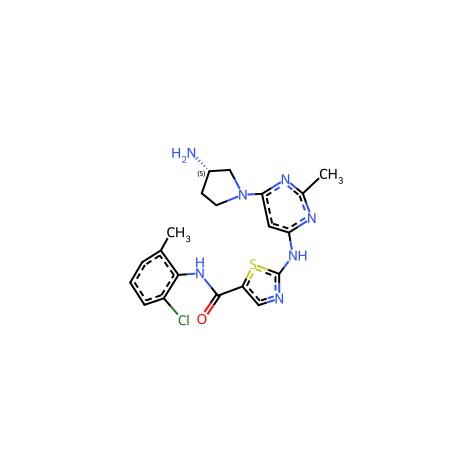 Cc1nc(Nc2ncc(C(=O)Nc3c(C)cccc3Cl)s2)cc(N2CC[C@H](N)C2)n1